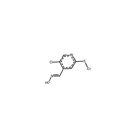 CCSc1cc(C=NO)c(Cl)cn1